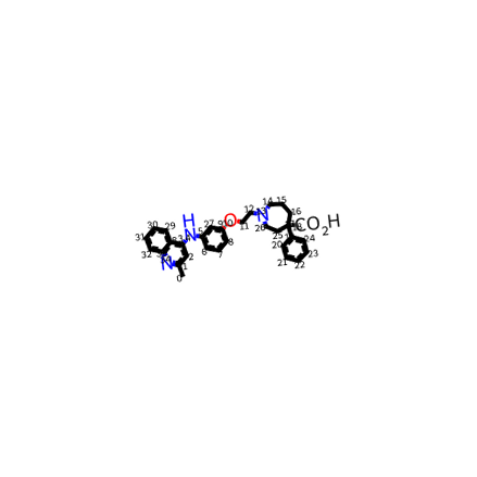 Cc1cc(Nc2cccc(OCCN3CCCC(C(=O)O)(c4ccccc4)CC3)c2)c2ccccc2n1